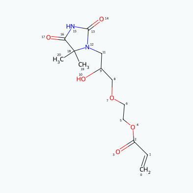 C=CC(=O)OCCOCC(O)CN1C(=O)NC(=O)C1(C)C